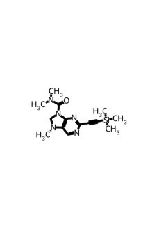 CN(C)C(=O)N1CN(C)c2cnc(C#C[Si](C)(C)C)nc21